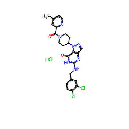 Cc1ccnc(C(=O)N2CCC(n3ncc4nc(NCc5ccc(Cl)c(Cl)c5)[nH]c(=O)c43)CC2)c1.Cl